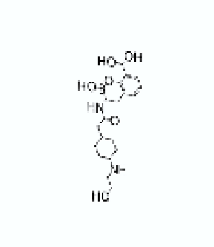 O=C(CC1CCC(NCCO)CC1)N[C@H]1Cc2cccc(C(O)O)c2OB1O